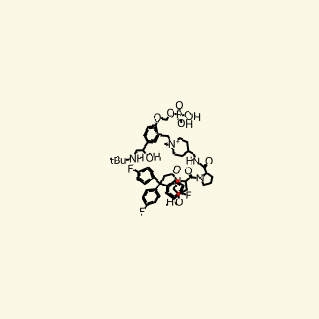 CC(C)(C)NCC(O)c1ccc(OCOP(=O)(O)O)c(C[N+]2(C)CCC(CNC(=O)C3CCCN3C(=O)C3CC(O)CN3C(=O)CC(c3ccc(F)cc3)(c3ccc(F)cc3)c3ccc(F)cc3)CC2)c1